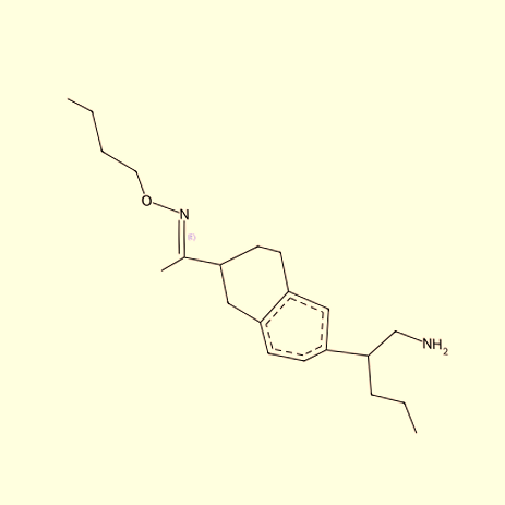 CCCCO/N=C(\C)C1CCc2cc(C(CN)CCC)ccc2C1